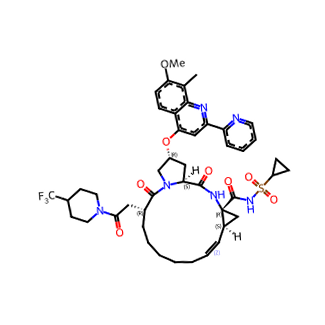 COc1ccc2c(O[C@@H]3C[C@H]4C(=O)N[C@]5(C(=O)NS(=O)(=O)C6CC6)C[C@H]5/C=C\CCCCC[C@H](CC(=O)N5CCC(C(F)(F)F)CC5)C(=O)N4C3)cc(-c3ccccn3)nc2c1C